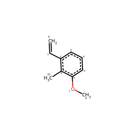 C=Cc1cccc(OC)c1C